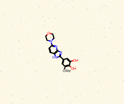 COc1cc(-c2nc3nc(N4CCOCC4)ccc3[nH]2)cc(O)c1O